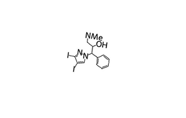 CNCC(O)C(c1ccccc1)n1cc(I)c(I)n1